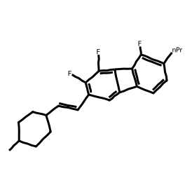 CCCc1ccc2c(c1F)-c1c-2cc(/C=C/C2CCC(C)CC2)c(F)c1F